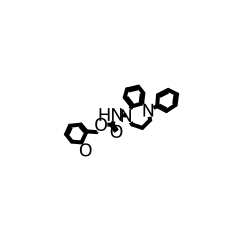 O=C(NN1CCCN(c2ccccc2)c2ccccc21)OCC1=CC=CCC1=O